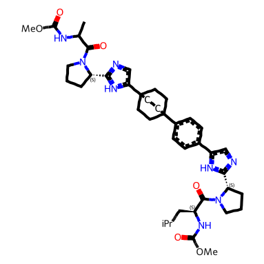 COC(=O)NC(C)C(=O)N1CCC[C@H]1c1ncc(C23CCC(c4ccc(-c5cnc([C@@H]6CCCN6C(=O)[C@H](CC(C)C)NC(=O)OC)[nH]5)cc4)(CC2)CC3)[nH]1